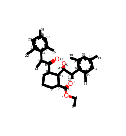 CCOC(=O)C1CCCC(C(=O)C(C)c2c(C)cc(C)cc2C)C1C(=O)C(C)c1c(C)cc(C)cc1C